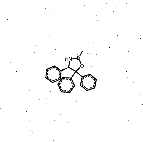 CB1N[C@H](c2ccccc2)C(c2ccccc2)(c2ccccc2)O1